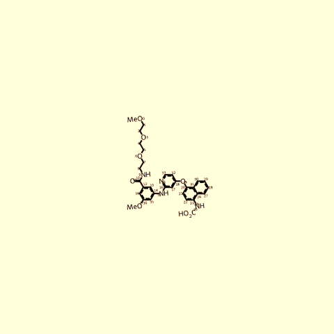 COCCOCCOCCNC(=O)c1cc(Nc2cc(Oc3ccc(NC(=O)O)c4ccccc34)ccn2)cc(OC)c1